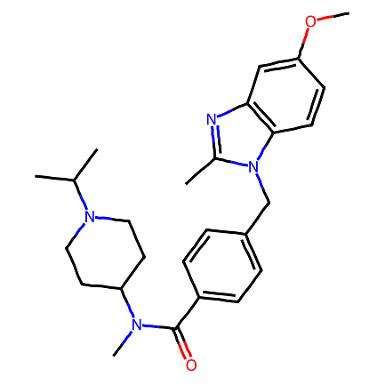 COc1ccc2c(c1)nc(C)n2Cc1ccc(C(=O)N(C)C2CCN(C(C)C)CC2)cc1